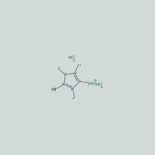 CC1=C(C)C(C)[C]([Hf])=C1C.Cl.Cl.Cl